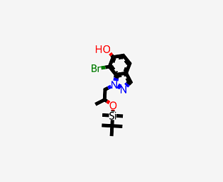 CC(Cn1ncc2ccc(O)c(Br)c21)O[Si](C)(C)C(C)(C)C